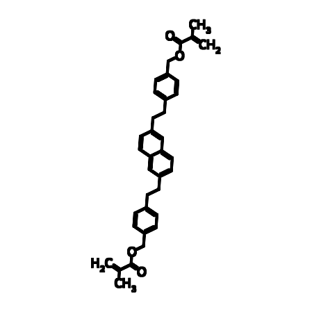 C=C(C)C(=O)OCc1ccc(CCc2ccc3cc(CCc4ccc(COC(=O)C(=C)C)cc4)ccc3c2)cc1